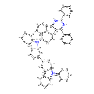 c1ccc(-c2nc(-c3ccccc3)c3c(n2)-c2cccc4c(-n5c6ccccc6c6ccc(-c7ccc8c(c7)c7ccccc7n8-c7ccccc7)cc65)ccc-3c24)cc1